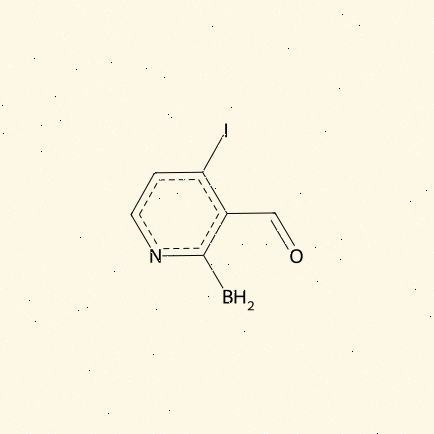 Bc1nccc(I)c1C=O